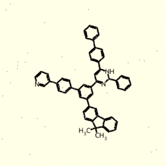 CC1(C)c2ccccc2-c2cc(-c3cc(C4=NC(c5ccccc5)NC(c5ccc(-c6ccccc6)cc5)=C4)cc(-c4ccc(-c5cccnc5)cc4)c3)ccc21